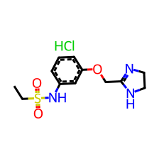 CCS(=O)(=O)Nc1cccc(OCC2=NCCN2)c1.Cl